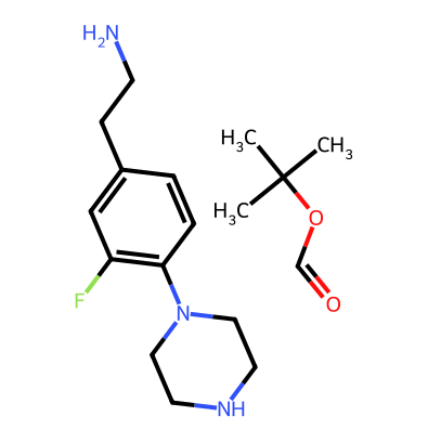 CC(C)(C)OC=O.NCCc1ccc(N2CCNCC2)c(F)c1